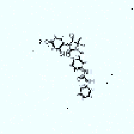 CC1(C)C(=O)N(c2ccc(C(F)(F)F)cc2S)C(=O)N1Cc1ccnc(NC(=O)Nc2ccccc2)c1